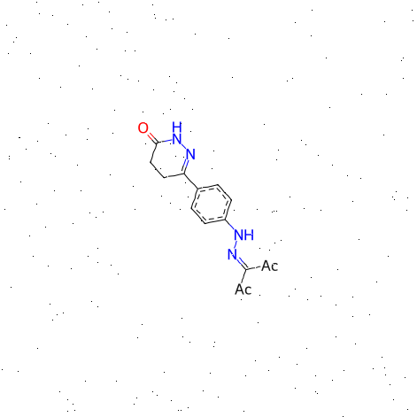 CC(=O)C(=NNc1ccc(C2=NNC(=O)CC2)cc1)C(C)=O